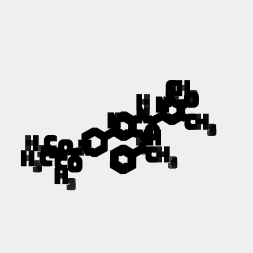 Cc1cc(C(=O)Nc2cnc(C3CCN(C(=O)OC(C)(C)C)CC3)cc2N[C@@H](C)c2ccccc2)nn(C)c1=O